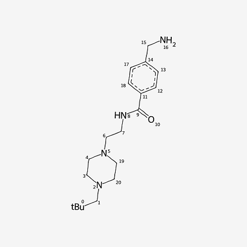 CC(C)(C)CN1CCN(CCNC(=O)c2ccc(CN)cc2)CC1